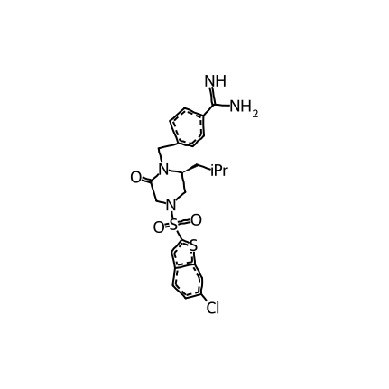 CC(C)C[C@H]1CN(S(=O)(=O)c2cc3ccc(Cl)cc3s2)CC(=O)N1Cc1ccc(C(=N)N)cc1